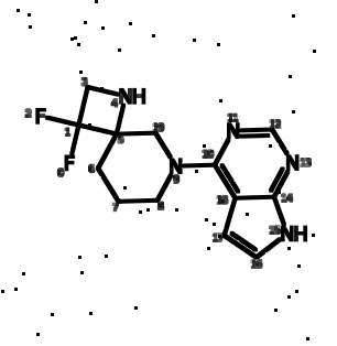 FC1(F)CNC12CCCN(c1ncnc3[nH]ccc13)C2